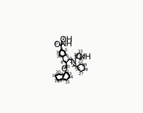 O=C(NO)c1ccc(/C=C(/COc2cccc3ccccc23)CN(CC2CCCCC2)C2CCNC2)cc1